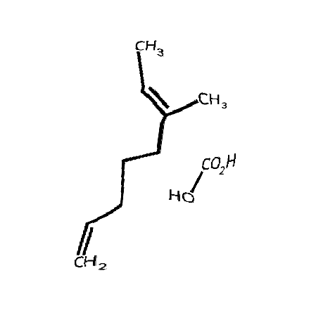 C=CCCCC(C)=CC.O=C(O)O